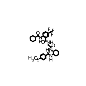 CSc1ccc(C(=O)NC2CCCCC2NC(=O)CNC(=O)c2cc(C(F)(F)F)ccc2NC(=O)C2CCCCC2)cc1